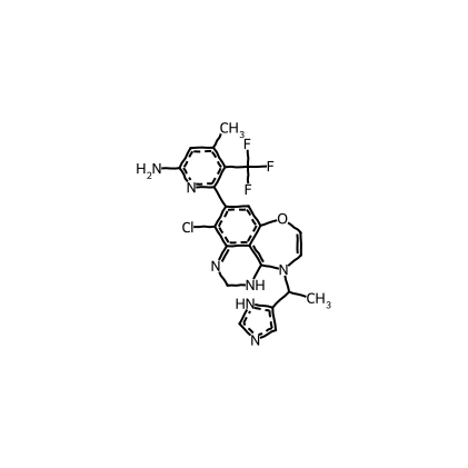 Cc1cc(N)nc(-c2cc3c4c(c2Cl)=NCNC=4N(C(C)c2cnc[nH]2)C=CO3)c1C(F)(F)F